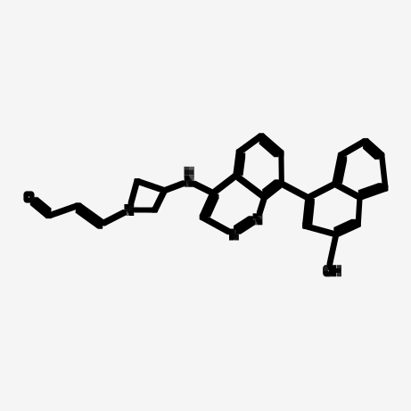 O=CC=CN1CC(Nc2cnnc3c(-c4cc(O)cc5ccccc45)cccc23)C1